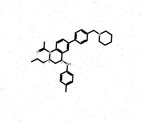 CCC[C@@H]1C[C@H](Nc2ccc(C)cc2)c2cc(-c3ccc(CN4CCCCC4)cc3)ccc2N1C(C)=O